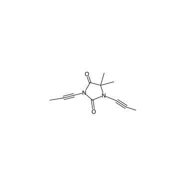 CC#CN1C(=O)N(C#CC)C(C)(C)C1=O